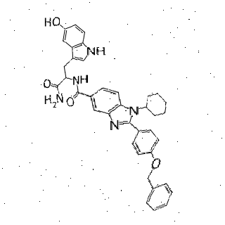 NC(=O)C(Cc1c[nH]c2ccc(O)cc12)NC(=O)c1ccc2c(c1)nc(-c1ccc(OCc3ccccc3)cc1)n2C1CCCCC1